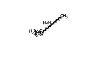 C=C(C=O)NOS(=O)(=O)CCCCCCCCCCCCCCCC.[NaH]